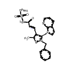 CCCCCS(=O)(=O)NC(=O)/C=C/c1c(C)nn(Cc2ccccc2)c1-n1ccc2cccnc21